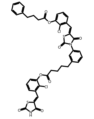 O=C(CCCCc1cccc(N2C(=O)S/C(=C\c3cccc(OC(=O)CCCc4ccccc4)c3Cl)C2=O)c1)Oc1cccc(/C=C2\SC(=O)NC2=O)c1Cl